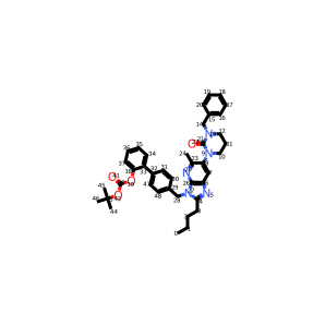 CCCCc1nc2cc(N3CCCN(Cc4ccccc4)C3=O)c(C)nc2n1Cc1ccc(-c2ccccc2OC(=O)OC(C)(C)C)cc1